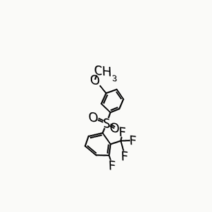 COc1cccc(S(=O)(=O)c2cccc(F)c2C(F)(F)F)c1